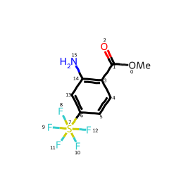 COC(=O)c1ccc(S(F)(F)(F)(F)F)cc1N